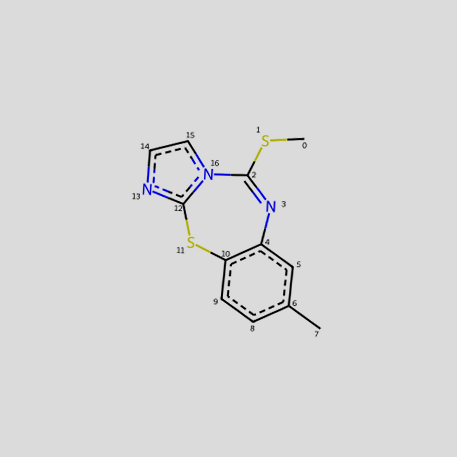 CSC1=Nc2cc(C)ccc2Sc2nccn21